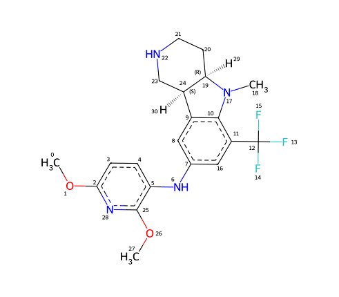 COc1ccc(Nc2cc3c(c(C(F)(F)F)c2)N(C)[C@@H]2CCNC[C@H]32)c(OC)n1